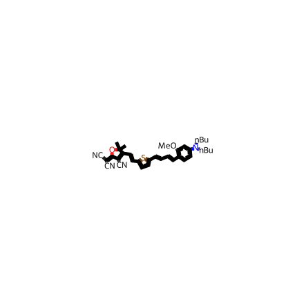 CCCCN(CCCC)c1ccc(C=CC=Cc2ccc(C=CC3=C(C#N)C(=C(C#N)C#N)OC3(C)C)s2)c(OC)c1